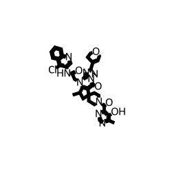 Cc1ncnc(C(=O)N2CCC3(CC2)CC(C)c2c3c(=O)n3nc(C4=CCOCC4)nc3n2CC(=O)Nc2cnc3ccccc3c2Cl)c1O